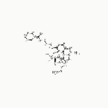 CCCCC1=Nc2c(N)nc3ccc(OCCCCC(=O)N4CCOCC4)cc3c2[N+]1(C)OC(=O)C(F)(F)F